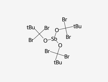 CC(C)(C)C(Br)(Br)[O][Sb]([O]C(Br)(Br)C(C)(C)C)[O]C(Br)(Br)C(C)(C)C